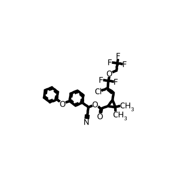 CC1(C)C(C=C(Cl)C(F)(F)OCC(F)(F)F)C1C(=O)OC(C#N)c1cccc(Oc2ccccc2)c1